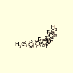 CCCc1ccc(-c2ccc(-c3cc(F)c(OC(F)(F)c4cc(F)c(C)c(F)c4)c(F)c3)c(F)c2)cc1